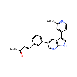 CNC(=O)C=Cc1cccc(-c2cnc3[nH]cc(-c4ccnc(OC)c4)c3c2)c1